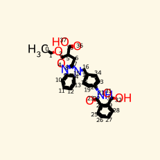 CCOC(=O)C(Cc1nc2ccccc2n1Cc1ccc(NC(=O)c2ccccc2C(=O)O)cc1)C(=O)O